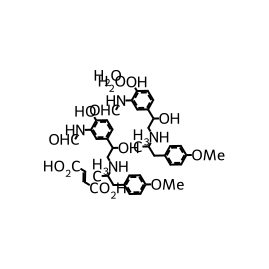 COc1ccc(CC(C)NCC(O)c2ccc(O)c(NC=O)c2)cc1.COc1ccc(CC(C)NCC(O)c2ccc(O)c(NC=O)c2)cc1.O.O.O=C(O)C=CC(=O)O